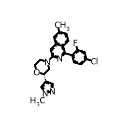 Cc1ccc2c(-c3ccc(Cl)cc3F)nc(N3CCO[C@@H](c4cnn(C)c4)C3)cc2c1